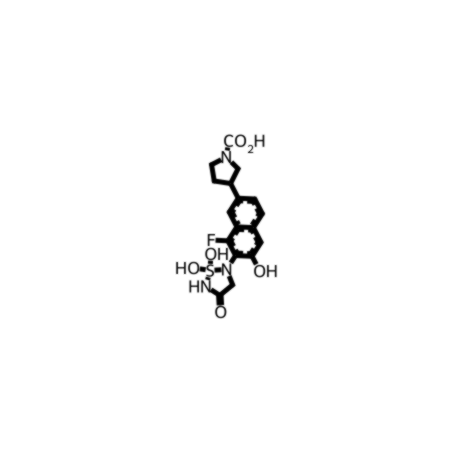 O=C1CN(c2c(O)cc3ccc(C4CCN(C(=O)O)C4)cc3c2F)S(O)(O)N1